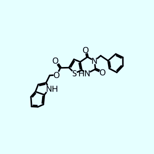 O=C(OCc1cc2ccccc2[nH]1)c1cc2c(=O)n(Cc3ccccc3)c(=O)[nH]c2s1